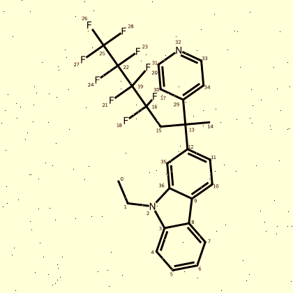 CCn1c2ccccc2c2ccc(C(C)(CC(F)(F)C(F)(F)C(F)(F)C(F)(F)F)c3ccncc3)cc21